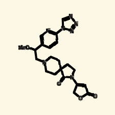 COC(CN1CCC2(CC1)CCN(C1=CC(=O)OC1)C2=O)c1ccc(-n2cnnn2)nc1